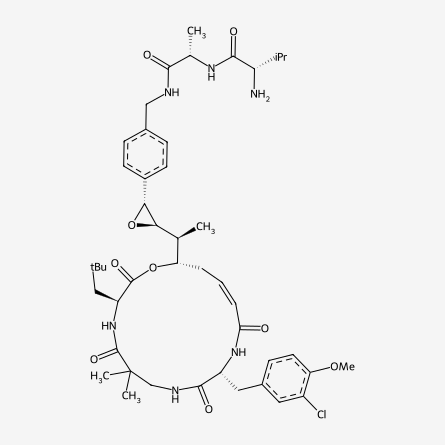 COc1ccc(C[C@H]2NC(=O)C=CC[C@@H]([C@H](C)[C@H]3O[C@@H]3c3ccc(CNC(=O)[C@H](C)NC(=O)[C@@H](N)C(C)C)cc3)OC(=O)[C@H](CC(C)(C)C)NC(=O)C(C)(C)CNC2=O)cc1Cl